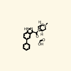 CN1C[C@@H]2C[C@H]1CN2C(=O)c1n[nH]c2ccc(-c3ccccc3)cc12.O=CO